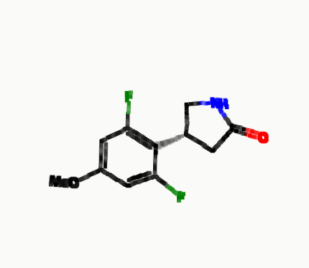 COc1cc(F)c([C@@H]2CNC(=O)C2)c(F)c1